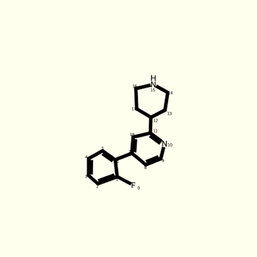 Fc1ccccc1-c1ccnc(C2CCNCC2)c1